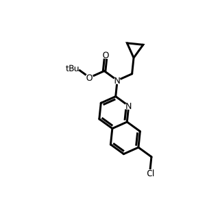 CC(C)(C)OC(=O)N(CC1CC1)c1ccc2ccc(CCl)cc2n1